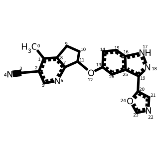 Cc1c(C#N)cnc2c1CCC2Oc1ccc2[nH]nc(-c3cnco3)c2c1